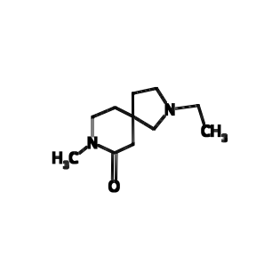 CCN1CCC2(CCN(C)C(=O)C2)C1